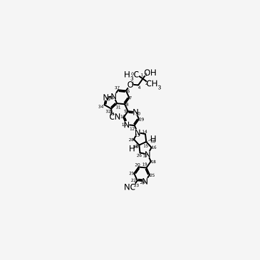 CC(C)(O)COc1cc(-c2cnc(N3C[C@H]4CN(Cc5ccc(C#N)nc5)C[C@H]4C3)cn2)c2c(C#N)cnn2c1